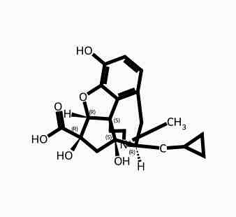 C[N+]1(CC2CC2)CC[C@]23c4c5ccc(O)c4O[C@H]2[C@@](O)(C(=O)O)C[C@@]3(O)[C@H]1C5